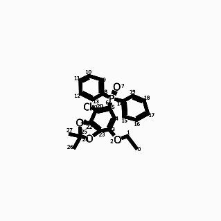 CCOc1cc(P(=O)(c2ccccc2)c2ccccc2)c(Cl)c2c1OC(C)(C)O2